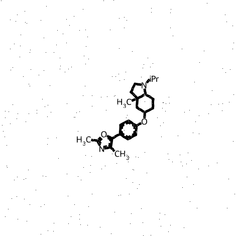 Cc1nc(C)c(-c2ccc(OC3CCC4N(C(C)C)CCC4(C)C3)cc2)o1